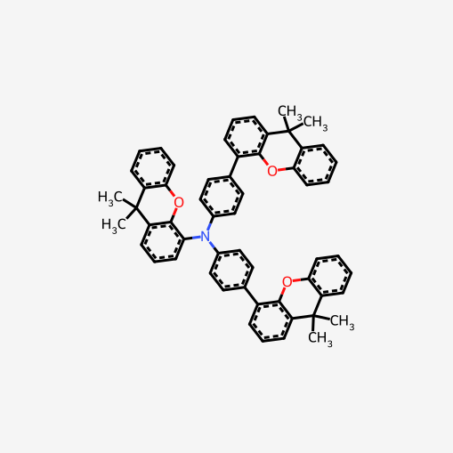 CC1(C)c2ccccc2Oc2c(-c3ccc(N(c4ccc(-c5cccc6c5Oc5ccccc5C6(C)C)cc4)c4cccc5c4Oc4ccccc4C5(C)C)cc3)cccc21